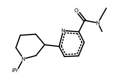 CC(C)N1CCCC(c2cccc(C(=O)N(C)C)n2)C1